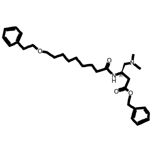 CN(C)C[C@@H](CC(=O)OCc1ccccc1)NC(=O)CCCCCCCCOCCc1ccccc1